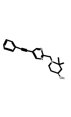 CC1(C)C[C@@H](O)CCN1Cc1ncc(C#Cc2ccccc2)cn1